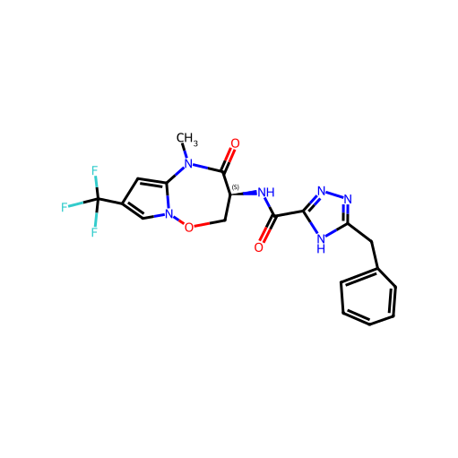 CN1C(=O)[C@@H](NC(=O)c2nnc(Cc3ccccc3)[nH]2)COn2cc(C(F)(F)F)cc21